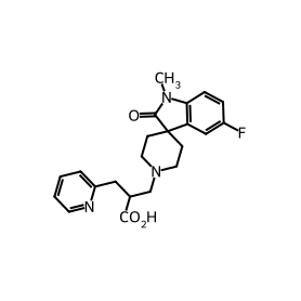 CN1C(=O)C2(CCN(CC(Cc3ccccn3)C(=O)O)CC2)c2cc(F)ccc21